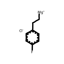 Fc1ccc(C[CH2][Mg+])cc1.[Cl-]